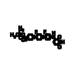 CC(C)(C)OC(=O)C1CCN(C2CCN(c3ccc(NC4CCC(=O)NC4=O)cc3F)CC2F)CC1